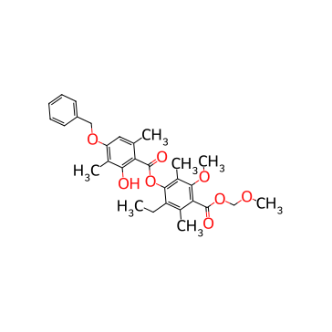 CCc1c(C)c(C(=O)OCOC)c(OC)c(C)c1OC(=O)c1c(C)cc(OCc2ccccc2)c(C)c1O